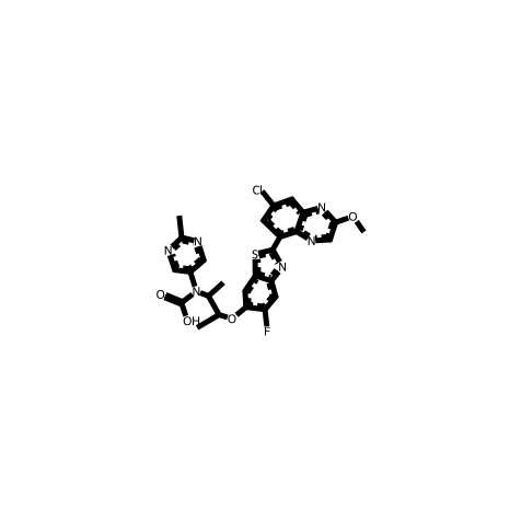 COc1cnc2c(-c3nc4cc(F)c(OC(C)C(C)N(C(=O)O)c5cnc(C)nc5)cc4s3)cc(Cl)cc2n1